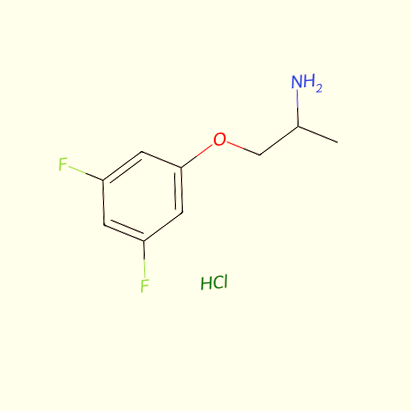 CC(N)COc1cc(F)cc(F)c1.Cl